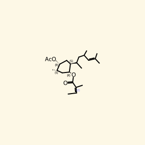 C/C=C(/C)C(=O)O[C@@H]1C[C@H](C)[C@H](OC(C)=O)C[C@H]1C(C)CC(C)C=C(C)C